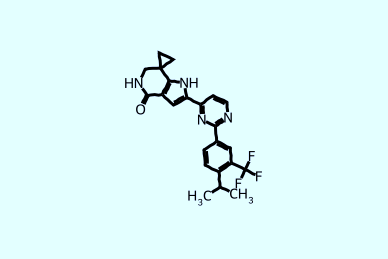 CC(C)c1ccc(-c2nccc(-c3cc4c([nH]3)C3(CC3)CNC4=O)n2)cc1C(F)(F)F